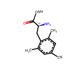 COC(=O)[C@@H](N)Cc1c(C)cc(C#N)cc1C